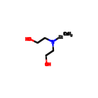 CCN(CCO)CCO.[CaH2]